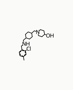 Cc1ccc(CNCC2CCC(CN3CCC(O)CC3)CC2)c(Cl)c1